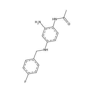 CC(=O)Nc1ccc(NCc2ccc(F)cc2)cc1N